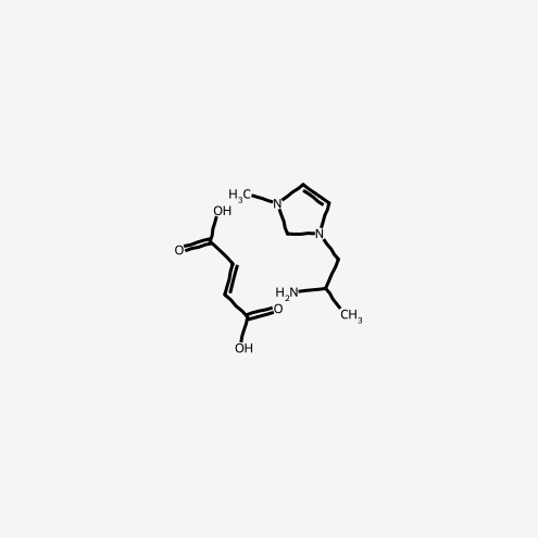 CC(N)CN1C=CN(C)C1.O=C(O)/C=C/C(=O)O